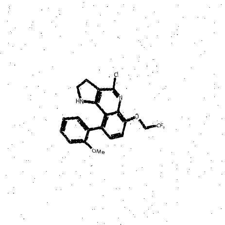 COc1ccccc1-c1ccc(OCC(F)(F)F)c2nc(Cl)c3c(c12)NCC3